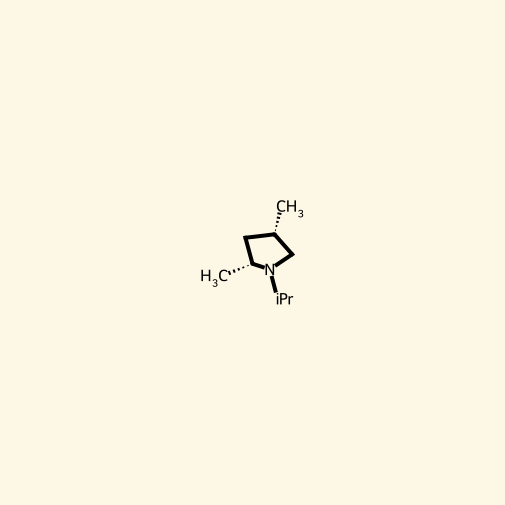 CC(C)N1C[C@@H](C)C[C@H]1C